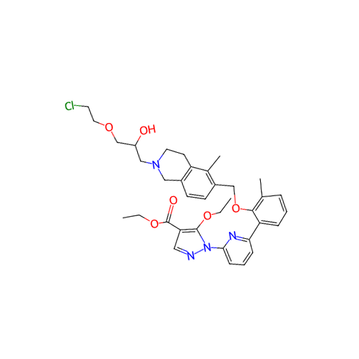 CCOC(=O)c1cnn(-c2cccc(-c3cccc(C)c3OCc3ccc4c(c3C)CCN(CC(O)COCCCl)C4)n2)c1OCC